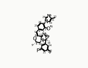 COc1cc(/C=C2/O[C@@H](C)CN3C2=NO[C@@]3(C)c2cc(F)cc(F)c2)ccc1-n1cnc(C)c1